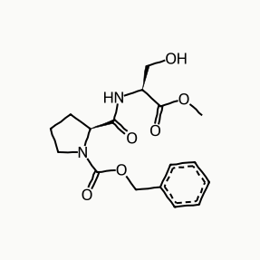 COC(=O)[C@H](CO)NC(=O)[C@@H]1CCCN1C(=O)OCc1ccccc1